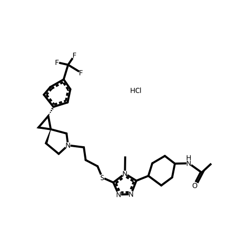 CC(=O)NC1CCC(c2nnc(SCCCN3CC[C@]4(C[C@@H]4c4ccc(C(F)(F)F)cc4)C3)n2C)CC1.Cl